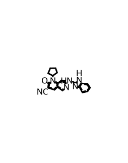 N#Cc1cc2cnc(Nc3nc4ccccc4[nH]3)cc2n(C2CCCC2)c1=O